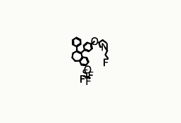 FCCCN1CCC(Oc2ccc(C3=C(c4ccccc4)CCCc4cc(OSC(F)(F)F)ccc43)cc2)C1